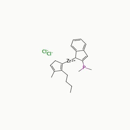 CCCCC1=[C]([Zr+2][CH]2C(P(C)C)=Cc3ccccc32)CC=C1C.[Cl-].[Cl-]